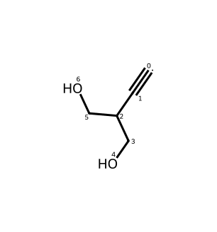 [C]#CC(CO)CO